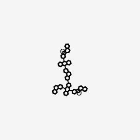 c1ccc2c(c1)ccc1ccc(-c3c4ccccc4c(-c4ccc5oc6c7ccccc7ccc6c5c4)c4ccc(-c5ccc6c(ccc7cc(-c8c9ccccc9c(-c9ccc%10oc%11c%12ccccc%12ccc%11c%10c9)c9ccccc89)ccc76)c5)cc34)cc12